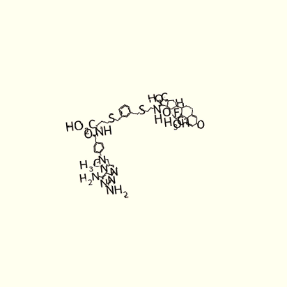 C[C@@H]1C[C@H]2C3CCC4=CC(=O)C=C[C@]4(C)[C@@]3(F)[C@@H](O)C[C@@]23O[C@]13C(=O)NCCSCc1cccc(CSCC[C@H](NC(=O)c2ccc(N(C)Cc3cnc4nc(N)nc(N)c4n3)cc2)C(=O)O)c1